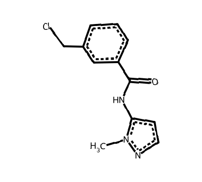 Cn1nccc1NC(=O)c1cccc(CCl)c1